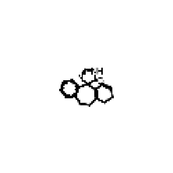 O=C1NC=NC12C1=C(CCC=C1)CCc1ccccc12